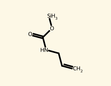 C=CCNC(=O)O[SiH3]